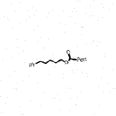 CCCC(C)C(=O)OCCCCCC(C)C